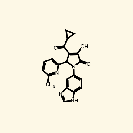 Cc1cccc(C2C(C(=O)C3CC3)=C(O)C(=O)N2c2ccc3[nH]cnc3c2)n1